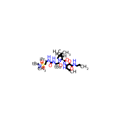 C#CCC(NC(=O)[C@@H]1[C@@H]2[C@H](CN1C(=O)[C@@H](NC(=O)N[C@H](CS(=O)(=O)N(C)C(C)(C)C)C(C)C)C(C)(C)C)C2(C)C)C(=O)C(=O)NCC=C